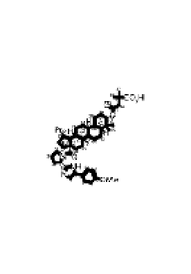 COc1ccc(-c2cnc([C@@H]3CCCN3C(=O)[C@]34CC[C@@H](C(C)C)[C@@H]3[C@H]3CC[C@@H]5[C@@]6(C)CC[C@H](OC(=O)CC(C)(C)C(=O)O)C(C)(C)[C@@H]6CC[C@@]5(C)[C@]3(C)CC4)[nH]2)cc1